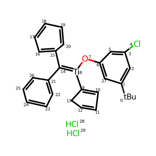 CC(C)(C)c1cc(Cl)cc([O][Ti]([C]2=CC=CC2)=[C](c2ccccc2)c2ccccc2)c1.Cl.Cl